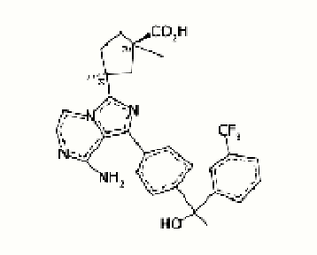 CC(O)(c1ccc(-c2nc([C@@]3(C)CC[C@@](C)(C(=O)O)C3)n3ccnc(N)c23)cc1)c1cccc(C(F)(F)F)c1